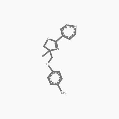 CC1(COc2ccc(N)cc2)COC(c2ccnnc2)=N1